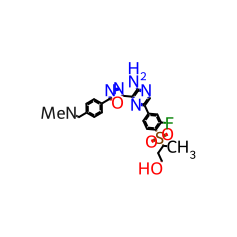 CNCc1ccc(-c2nnc(-c3nc(-c4ccc(S(=O)(=O)C(C)CCO)c(F)c4)cnc3N)o2)cc1